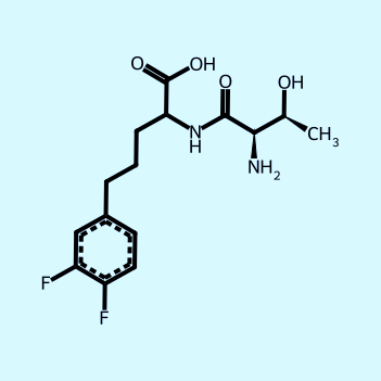 C[C@H](O)[C@@H](N)C(=O)NC(CCCc1ccc(F)c(F)c1)C(=O)O